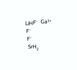 [F-].[F-].[F-].[Ga+3].[LiH].[SrH2]